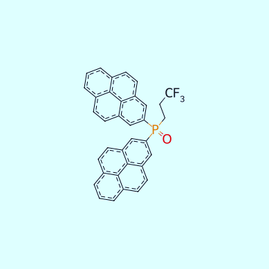 O=P(CCC(F)(F)F)(c1cc2ccc3cccc4ccc(c1)c2c34)c1cc2ccc3cccc4ccc(c1)c2c34